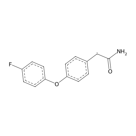 NC(=O)[CH]c1ccc(Oc2ccc(F)cc2)cc1